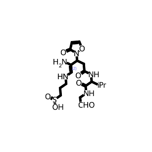 CC(C)C(NC(=O)CC(/C(N)=C/NCCCS(=O)O)n1occc1=O)C(=O)NCC=O